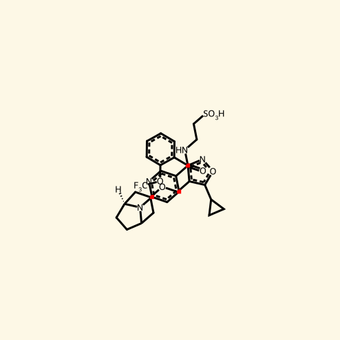 O=C(NCCS(=O)(=O)O)c1ccc(N2C3CC[C@H]2CC(OCc2c(-c4ccccc4OC(F)(F)F)noc2C2CC2)C3)nc1